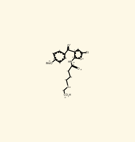 CCc1cc(C(=O)c2ccc(OC)cc2)c(NC(=O)CCCSCC(=O)O)s1